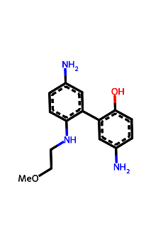 COCCNc1ccc(N)cc1-c1cc(N)ccc1O